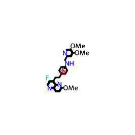 COc1ccc2ncc(F)c(CCC34CCC(NCc5cc(OC)c(OC)cn5)(CC3)CO4)c2n1